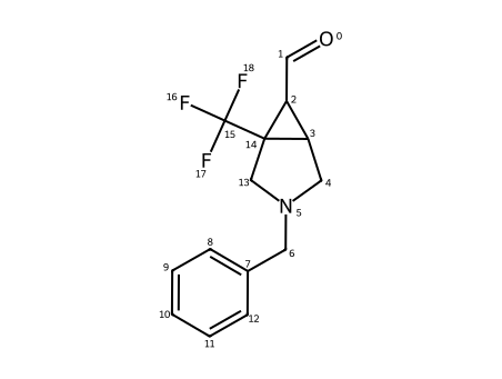 O=CC1C2CN(Cc3ccccc3)CC12C(F)(F)F